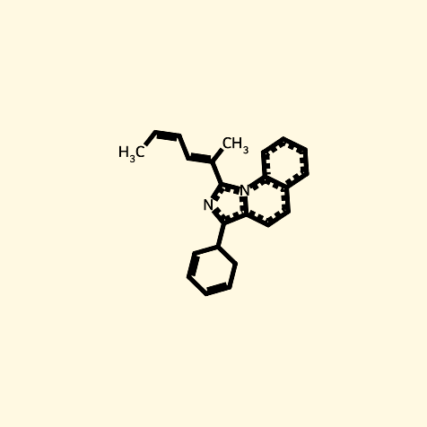 C/C=C\C=C(/C)c1nc(C2C=CC=CC2)c2ccc3ccccc3n12